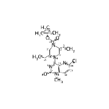 CCC1CN(c2nc(=O)n(C)c3ccc(Cl)nc23)C(CC)CN1C(=O)OC(C)(C)C